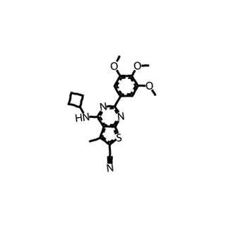 COc1cc(-c2nc(NC3CCC3)c3c(C)c(C#N)sc3n2)cc(OC)c1OC